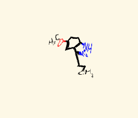 CCCc1n[nH]c2ccc(OC)cc12